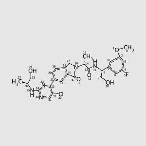 COc1cc(F)cc([C@@H](CO)NC(=O)[C@@H](C)N2Cc3ccc(-c4nc(N[C@@H](C)CO)ncc4Cl)cc3C2=O)c1